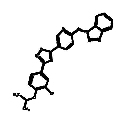 CC(C)Oc1ccc(-c2noc(-c3ccc(On4nnc5ccccc54)nc3)n2)cc1Cl